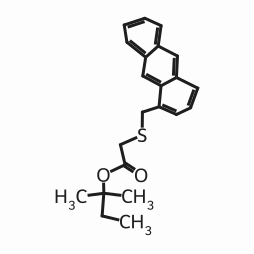 CCC(C)(C)OC(=O)CSCc1cccc2cc3ccccc3cc12